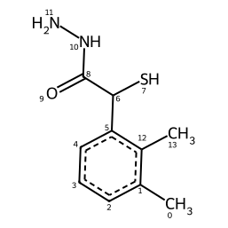 Cc1cccc(C(S)C(=O)NN)c1C